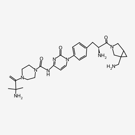 C=C(N1CCN(C(=O)Nc2ccn(-c3ccc(C[C@H](N)C(=O)N4CC5CC5(CN)C4)cc3)c(=O)n2)CC1)C(C)(C)N